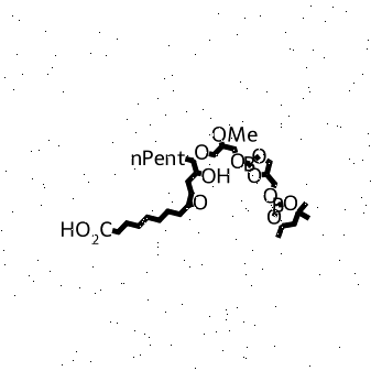 CCCCCC(OCC(COB1OCC(COB2OC(C)CC(C)(C)O2)O1)OC)C(O)CC1OC1CCCCCCCC(=O)O